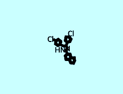 Clc1ccc(C2N=C(c3ccc4ccccc4c3)NC2c2ccc(Cl)cc2)cc1